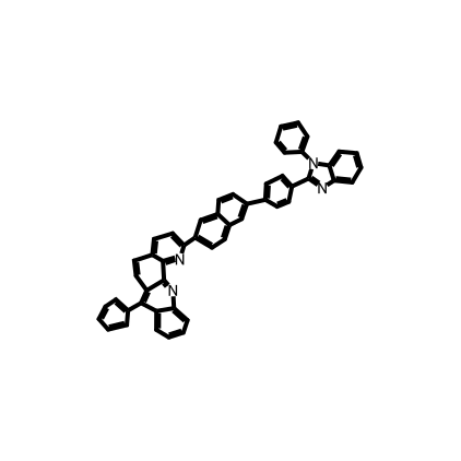 c1ccc(-c2c3ccccc3nc3c2ccc2ccc(-c4ccc5cc(-c6ccc(-c7nc8ccccc8n7-c7ccccc7)cc6)ccc5c4)nc23)cc1